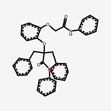 O=C(COc1ccccc1OC(Cc1ccccc1)(Cc1ccccc1)C(=O)Nc1ccccc1)Nc1ccccc1